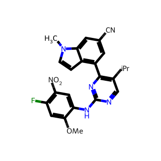 COc1cc(F)c([N+](=O)[O-])cc1Nc1ncc(C(C)C)c(-c2cc(C#N)cc3c2ccn3C)n1